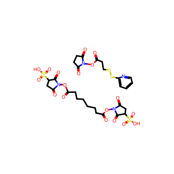 O=C(CCCCCCC(=O)ON1C(=O)CC(S(=O)(=O)O)C1=O)ON1C(=O)CC(S(=O)(=O)O)C1=O.O=C(CCSSc1ccccn1)ON1C(=O)CCC1=O